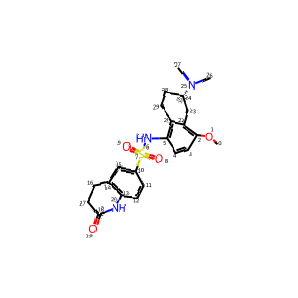 COc1ccc(NS(=O)(=O)c2ccc3c(c2)CCC(=O)N3)c2c1C[C@@H](N(C)C)CC2